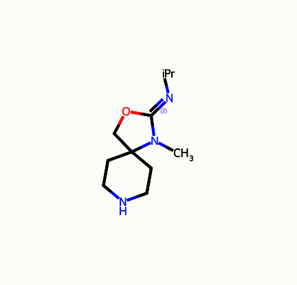 CC(C)/N=C1\OCC2(CCNCC2)N1C